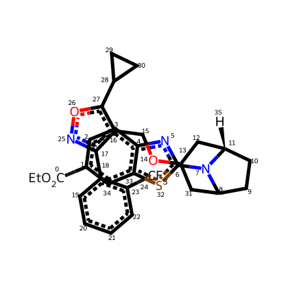 CCOC(=O)c1ccc2nc(N3C4CC[C@H]3CC(OCc3c(-c5ccccc5C(F)(F)F)noc3C3CC3)C4)sc2c1